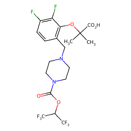 CC(C)(Oc1c(CN2CCN(C(=O)OC(C(F)(F)F)C(F)(F)F)CC2)ccc(F)c1F)C(=O)O